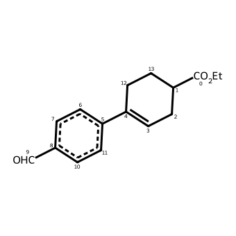 CCOC(=O)C1CC=C(c2ccc(C=O)cc2)CC1